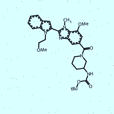 COCCn1c(-c2nc3cc(C(=O)N4CCCC(NC(=O)OC(C)(C)C)C4)cc(OC)c3n2C)cc2ccccc21